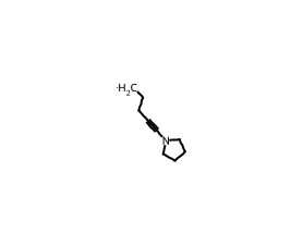 [CH2]CCC#CN1CCCC1